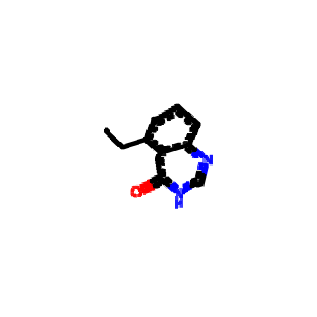 CCc1cccc2nc[nH]c(=O)c12